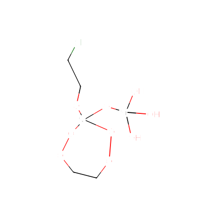 O[Si](O)(O)O[Si]1(OCCCl)OOCCOO1